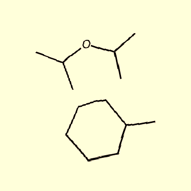 CC(C)OC(C)C.CC1CCCCC1